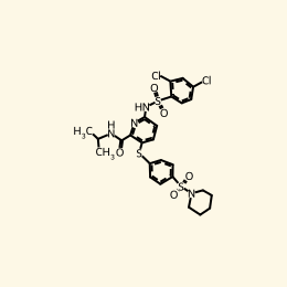 CC(C)NC(=O)c1nc(NS(=O)(=O)c2ccc(Cl)cc2Cl)ccc1Sc1ccc(S(=O)(=O)N2CCCCC2)cc1